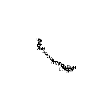 CCc1c2c(nc3ccc(OC(=O)N4CCN(C(=O)CCOCCOCCOCCOCCNC(=O)C5CCC(CN6C(=O)C=CC6=O)CC5)CC4)cc13)-c1cc3c(c(=O)n1C2)COC(=O)C3(O)CC